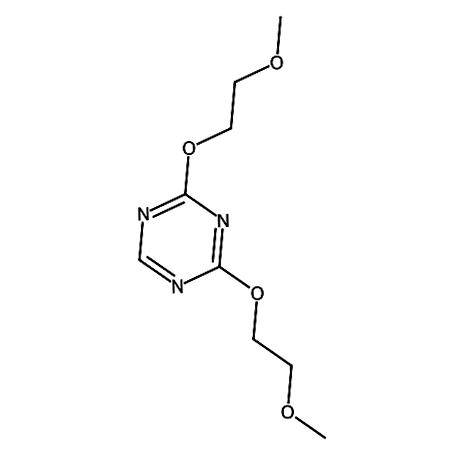 COCCOc1ncnc(OCCOC)n1